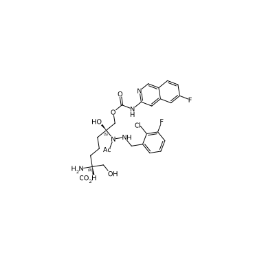 CC(=O)N(NCc1cccc(F)c1Cl)[C@](O)(CCC[C@@](N)(CO)C(=O)O)COC(=O)Nc1cc2cc(F)ccc2cn1